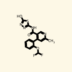 Cc1cc(-c2ccccc2OC(F)F)c(C(=O)Nc2nnc(O)s2)cn1